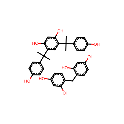 CC(C)(c1ccc(O)cc1)c1cc(C(C)(C)c2ccc(O)cc2)c(O)cc1O.Oc1ccc(Cc2ccc(O)cc2O)c(O)c1